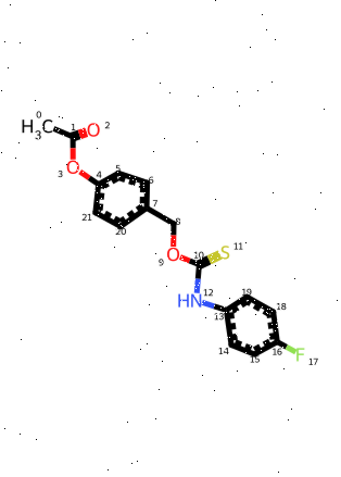 CC(=O)Oc1ccc(COC(=S)Nc2ccc(F)cc2)cc1